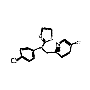 Clc1ccc(N(Cc2ccc(Cl)cn2)C2=NCCS2)cc1